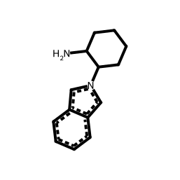 NC1CCCCC1n1cc2ccccc2c1